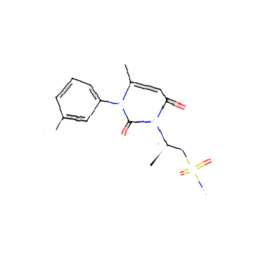 Cc1cc(=O)n([C@H](C)CS(N)(=O)=O)c(=O)n1-c1cccc(C(F)(F)F)c1